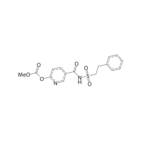 COC(=O)Oc1ccc(C(=O)NS(=O)(=O)CCc2ccccc2)cn1